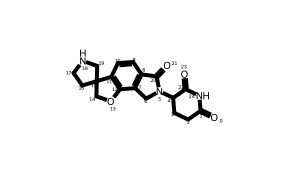 O=C1CCC(N2Cc3c(ccc4c3OCC43CCNC3)C2=O)C(=O)N1